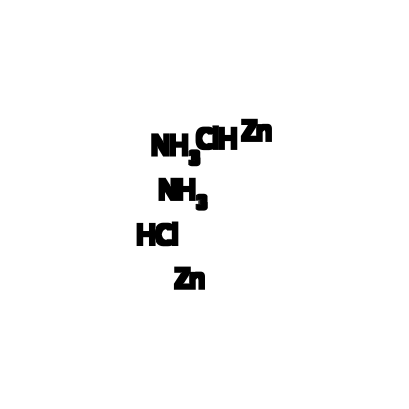 Cl.Cl.N.N.[Zn].[Zn]